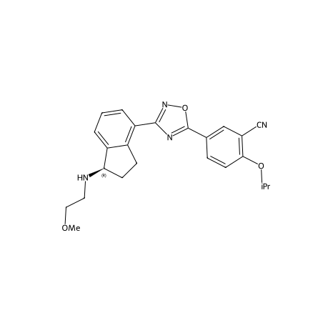 COCCN[C@@H]1CCc2c(-c3noc(-c4ccc(OC(C)C)c(C#N)c4)n3)cccc21